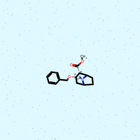 COC(=O)[C@@H]1C2CCC(C[C@@H]1OCc1ccccc1)N2C